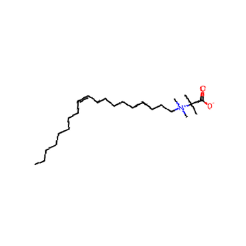 CCCCCCCC/C=C\CCCCCCCCC[N+](C)(C)C(C)(C)C(=O)[O-]